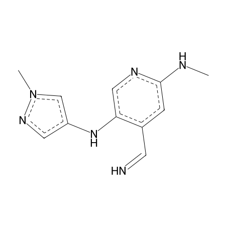 CNc1cc(C=N)c(Nc2cnn(C)c2)cn1